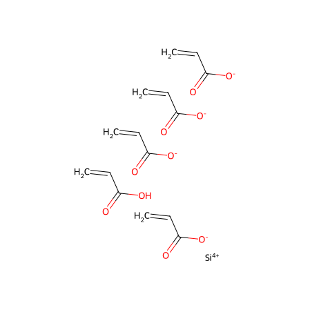 C=CC(=O)O.C=CC(=O)[O-].C=CC(=O)[O-].C=CC(=O)[O-].C=CC(=O)[O-].[Si+4]